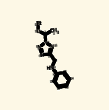 CCOC(C)n1nnc(CNc2ccccc2)n1